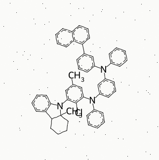 Cc1cc(N(c2ccccc2)c2cccc(N(c3ccccc3)c3cccc(-c4cccc5ccccc45)c3)c2)c(Cl)c(N2c3ccccc3C3CCCCC32C)c1